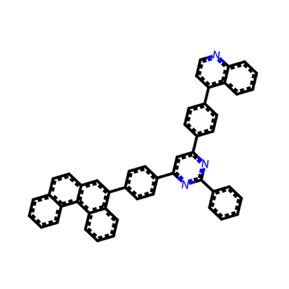 c1ccc(-c2nc(-c3ccc(-c4ccnc5ccccc45)cc3)cc(-c3ccc(-c4cc5ccc6ccccc6c5c5ccccc45)cc3)n2)cc1